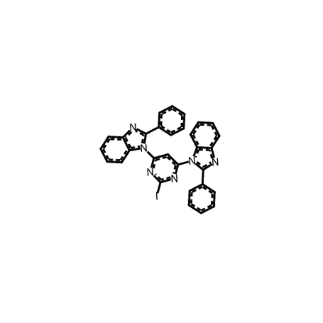 Ic1nc(-n2c(-c3ccccc3)nc3ccccc32)cc(-n2c(-c3ccccc3)nc3ccccc32)n1